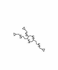 C(CC1CSC(CCSCC2CC2)C(SCC2CC2)CS1)SCC1CC1